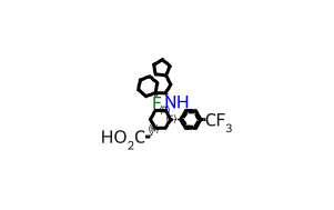 O=C(O)C[C@@H]1CC[C@@H](NC(CC2CCCC2)C2(F)CCCCC2)[C@H](c2ccc(C(F)(F)F)cc2)C1